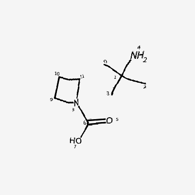 CC(C)(C)N.O=C(O)N1CCC1